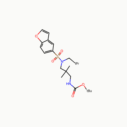 CC(C)CN(CC(C)(C)CNC(=O)OC(C)(C)C)S(=O)(=O)c1ccc2occc2c1